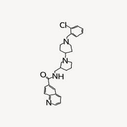 O=C(NCC1CCCN(C2CCN(Cc3ccccc3Cl)CC2)C1)c1ccc2ncccc2c1